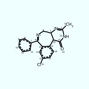 CC1=NC2CN=C(c3ccccc3)c3cc(Cl)ccc3C2C(=O)N1